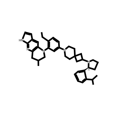 CCc1ccc(N2CCC3(CC2)CC(N2CCC[C@H]2c2ccccc2C(C)C)C3)cc1N1CC(C)Cc2nc3[nH]ccc3cc21